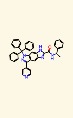 C[C@@H](NC(=O)c1nc2cc3c(-c4ccncc4)nn(C(c4ccccc4)(c4ccccc4)c4ccccc4)c3cc2[nH]1)c1ccccc1